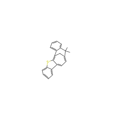 CC1(C)C2=CC=c3c(sc4ccccc34)=C(C2)c2ccccc21